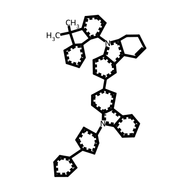 CC1(C)c2ccccc2-c2c(-n3c4c(c5cc(-c6ccc7c(c6)c6ccccc6n7-c6ccc(-c7ccccc7)cc6)ccc53)C=CCC4)cccc21